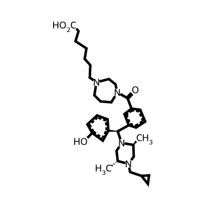 C[C@@H]1CN([C@@H](c2cccc(O)c2)c2cccc(C(=O)N3CCCN(CCCCCCC(=O)O)CC3)c2)[C@@H](C)CN1CC1CC1